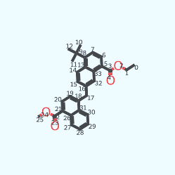 CCOC(=O)c1ccc(C(C)(C)C)c2ccc(Cc3ccc(C(=O)OC)c4ccccc34)cc12